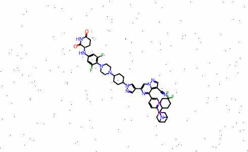 N#Cc1cnn2cc(-c3cnn(C4CCC(N5CCN(c6c(F)cc(NC7CCC(=O)NC7=O)cc6F)CC5)CC4)c3)nc(-c3ccc(N4CC5CC(C4)N5CC4CCC(F)(F)CC4)nc3)c12